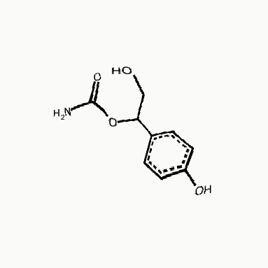 NC(=O)OC(CO)c1ccc(O)cc1